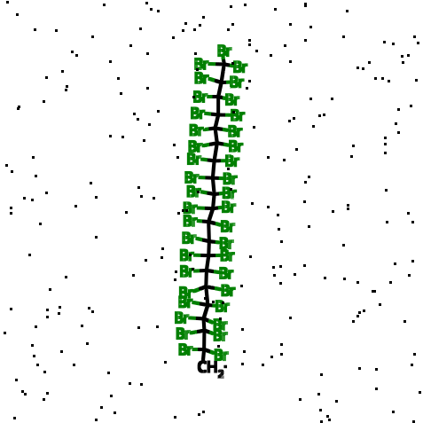 [CH2]C(Br)(Br)C(Br)(Br)C(Br)(Br)C(Br)(Br)C(Br)(Br)C(Br)(Br)C(Br)(Br)C(Br)(Br)C(Br)(Br)C(Br)(Br)C(Br)(Br)C(Br)(Br)C(Br)(Br)C(Br)(Br)C(Br)(Br)C(Br)(Br)C(Br)(Br)C(Br)(Br)C(Br)(Br)Br